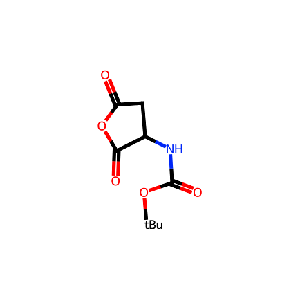 CC(C)(C)OC(=O)NC1CC(=O)OC1=O